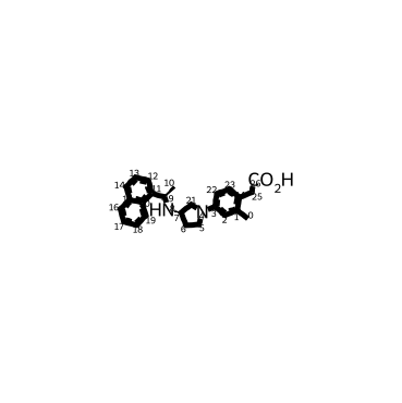 Cc1cc(N2CC[C@H](N[C@H](C)c3cccc4ccccc34)C2)ccc1CC(=O)O